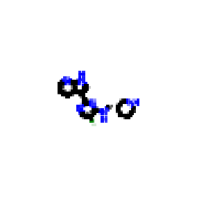 Fc1cnc(-c2c[nH]c3ncccc23)nc1NC[C@H]1CCCNC1